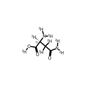 [2H]OC(=O)[C@@]([2H])(N([2H])[2H])C([2H])([2H])C(=O)N([2H])[2H]